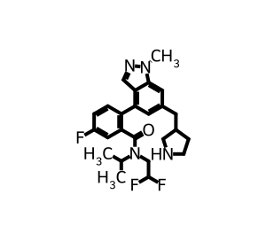 CC(C)N(CC(F)F)C(=O)c1cc(F)ccc1-c1cc(CC2CCNC2)cc2c1cnn2C